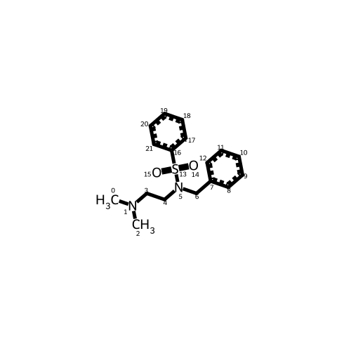 CN(C)CCN(Cc1ccccc1)S(=O)(=O)c1[c]cccc1